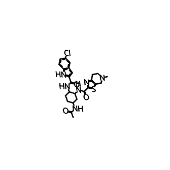 CC(=O)NC1CCC(NC(=O)c2cc3cc(Cl)ccc3[nH]2)C(NC(=O)c2nc3c(s2)CN(C)CC3)C1